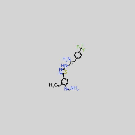 C=Cc1cc(-c2nnc(NC[C@@H](N)Cc3ccc(C(F)(F)F)cc3)s2)ccc1/N=C\N